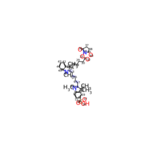 CN1\C(=C/C=C/C=C/C2=[N+](C)c3ccc(S(=O)(=O)O)cc3C2(C)C)C(C)(CCCCCC(=O)ON2C(=O)CCC2=O)c2ccccc21